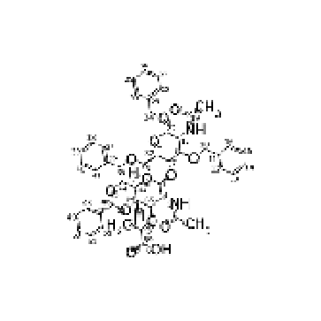 CC(=O)N[C@H]1[C@H](O[C@H]2[C@H](OCc3ccccc3)[C@@H](NC(C)=O)[C@@H](OCc3ccccc3)O[C@@H]2COCc2ccccc2)O[C@@H]2COC(c3ccccc3)O[C@H]2[C@@H]1OC(C)C(=O)O